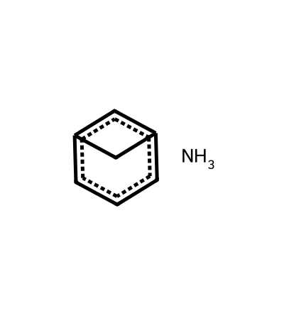 N.c1cc2cc(c1)C2